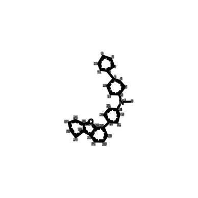 CN(c1ccc(-c2ccccc2)cc1)c1ccc(-c2cccc3c2oc2ccccc23)cc1